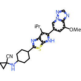 COc1cc(-c2[nH]c3sc(C4CCC(NC5(C#N)CC5)CC4)nc3c2C(C)C)cn2ncnc12